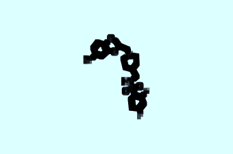 O=S(=O)(NCC1CCN(CC2COc3ccc(Br)cc3O2)CC1)c1ccc(F)cc1F